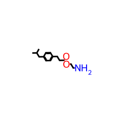 CC(C)Cc1ccc(CCC(=O)OCCN)cc1